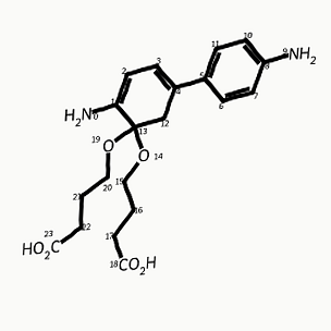 NC1=CC=C(c2ccc(N)cc2)CC1(OCCCC(=O)O)OCCCC(=O)O